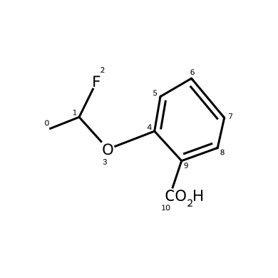 CC(F)Oc1ccccc1C(=O)O